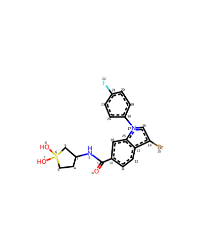 O=C(NC1CCS(O)(O)C1)c1ccc2c(Br)cn(-c3ccc(F)cc3)c2c1